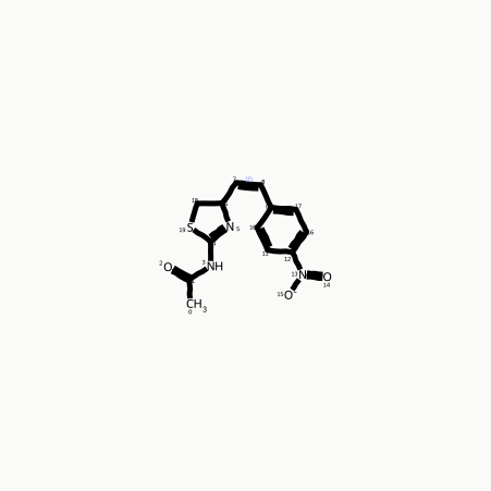 CC(=O)NC1=NC(/C=C\c2ccc([N+](=O)[O-])cc2)CS1